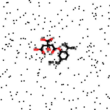 CC(C)[C@@H]1CC[C@@H](C)C[C@H]1OC(=O)CC(O)(CC(=O)O)C(=O)O.[NaH]